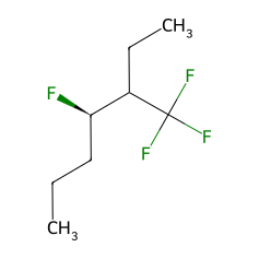 CCC[C@@H](F)C(CC)C(F)(F)F